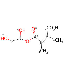 C/C(C(=O)O)=C(\C)C(=O)OC(O)CO